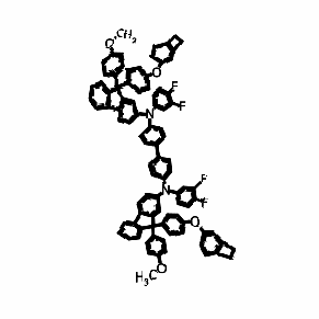 COc1ccc(C2(c3ccc(Oc4ccc5c(c4)CC5)cc3)c3ccccc3-c3ccc(N(c4ccc(-c5ccc(N(c6ccc(F)c(F)c6)c6ccc7c(c6)C(c6ccc(OC)cc6)(c6ccc(Oc8ccc9c(c8)CC9)cc6)c6ccccc6-7)cc5)cc4)c4ccc(F)c(F)c4)cc32)cc1